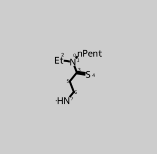 CCCCCN(CC)C(=S)CC[NH]